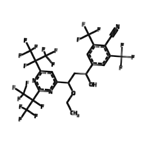 CCOC(CC(O)c1cc(C(F)(F)F)c(C#N)c(C(F)(F)F)c1)c1cc(C(F)(C(F)(F)F)C(F)(F)F)nc(C(F)(C(F)(F)F)C(F)(F)F)n1